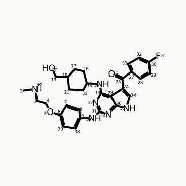 CN(C)CCOc1ccc(Nc2nc(NC3CCC(CO)CC3)c3c(C(=O)c4ccc(F)cc4)c[nH]c3n2)cc1